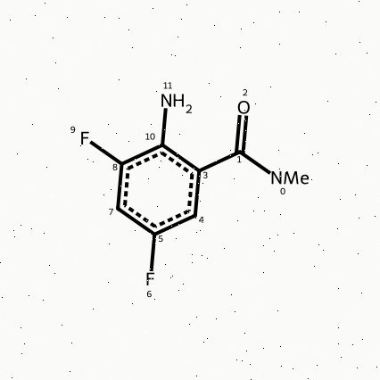 CNC(=O)c1cc(F)cc(F)c1N